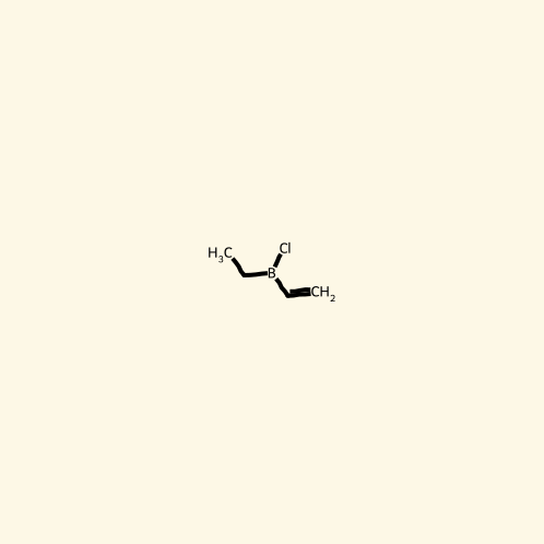 C=CB(Cl)CC